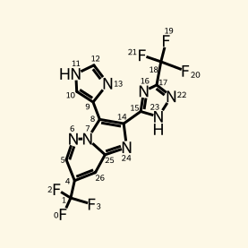 FC(F)(F)c1cnn2c(-c3c[nH]cn3)c(-c3nc(C(F)(F)F)n[nH]3)nc2c1